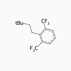 CC(C)(C)CCc1c(C(F)(F)F)cccc1C(F)(F)F